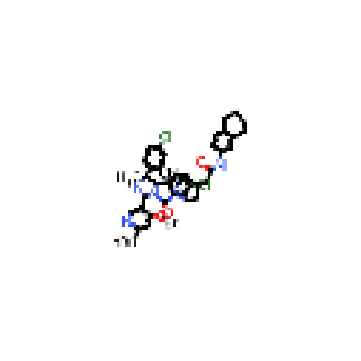 CCOc1cc(C(C)(C)C)ncc1C1=N[C@@](C)(c2ccc(Cl)cc2)[C@@](C)(c2ccc(Cl)cc2)N1C(=O)N1CCC(CC(=O)Nc2ccc3c(c2)CCCC3)CC1